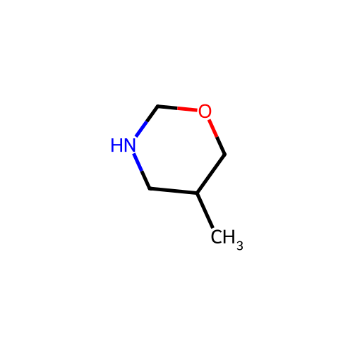 CC1CNCOC1